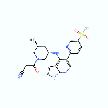 C[C@H]1C[C@@H](Nc2c(-c3ccc(S(C)(=O)=O)cn3)cnc3[nH]ccc23)CN(C(=O)CC#N)C1